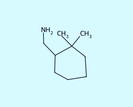 CC1(C)CCCCC1CN